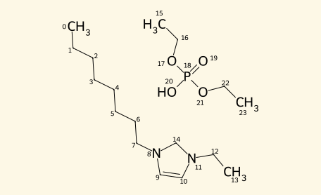 CCCCCCCCN1C=CN(CC)C1.CCOP(=O)(O)OCC